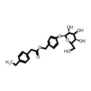 CCc1ccc(CC(=O)OCc2ccc(O[C@@H]3OC(CO)[C@H](O)C(O)[C@@H]3O)cc2)cc1